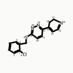 Clc1ccccc1CSc1ccc(C2=CC=NCC2)nn1